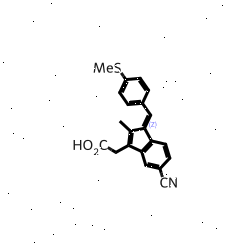 CSc1ccc(/C=C2\C(C)=C(CC(=O)O)c3cc(C#N)ccc32)cc1